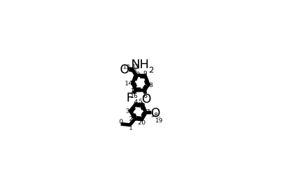 CCc1ccc(Oc2ccc(C(N)=O)cc2F)c(OC)c1